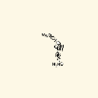 COc1ccc(C(C)(C)c2csc(NC(=O)NCc3cnc(N4CCC(C(N)=O)CC4)nc3)n2)cc1